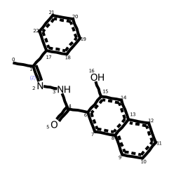 C/C(=N/NC(=O)c1cc2ccccc2cc1O)c1ccccc1